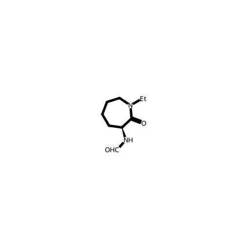 CCN1CCCC[C@H](NC=O)C1=O